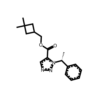 C[C@H](c1ccccc1)n1nncc1C(=O)OCC1CC(C)(C)C1